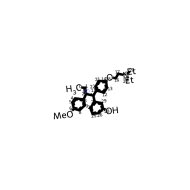 C/C=C(\c1ccc(OC)cc1)C(c1ccc(OCCN(CC)CC)cc1)c1cccc(O)c1